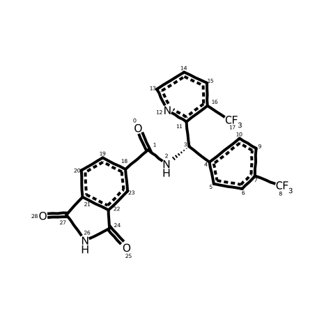 O=C(N[C@@H](c1ccc(C(F)(F)F)cc1)c1ncccc1C(F)(F)F)c1ccc2c(c1)C(=O)NC2=O